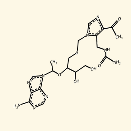 CC(=O)c1ncn(CSCC(OC(C)n2cnc3c(N)ncnc32)C(O)CO)c1CNC(N)=O